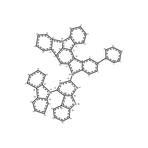 c1ccc(-c2ccc3c(c2)c2c4c5ccccc5n5c6ccccc6c(cc2n3-c2nc(-n3c6ccccc6c6ccccc63)c3c(n2)sc2ccccc23)c45)cc1